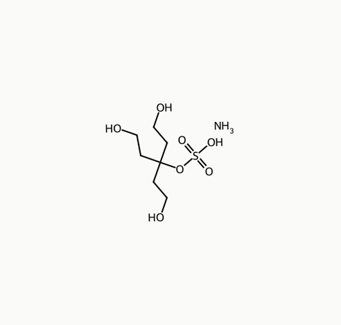 N.O=S(=O)(O)OC(CCO)(CCO)CCO